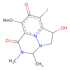 COc1c2n3c(c(I)c1=O)C(O)CN3C(C)N(C)C2=O